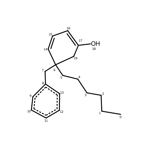 CCCCCCC1(Cc2ccccc2)C=CC=C(O)C1